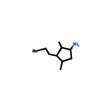 CCC(C)CCC1C(C)CC(N)C1C